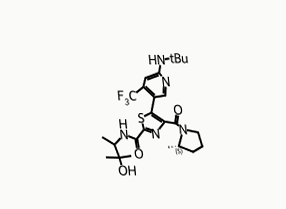 CC(NC(=O)c1nc(C(=O)N2CCC[C@@H]2C)c(-c2cnc(NC(C)(C)C)cc2C(F)(F)F)s1)C(C)(C)O